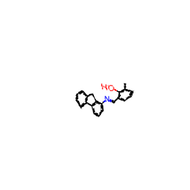 Cc1cccc(C=Nc2cccc3c2Cc2ccccc2-3)c1O